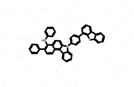 c1ccc(Nc2c(-c3ccccc3)ccc3c2ccc2c3c3ccccc3n2-c2ccc(-c3cccc4c3sc3ccccc34)cc2)cc1